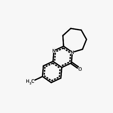 Cc1ccc2c(=O)n3c(nc2c1)CCCCC3